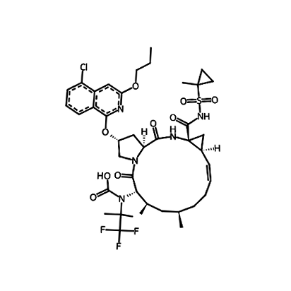 CCCOc1cc2c(Cl)cccc2c(O[C@@H]2C[C@H]3C(=O)N[C@]4(C(=O)NS(=O)(=O)C5(C)CC5)C[C@H]4C=CCC[C@@H](C)C[C@@H](C)[C@H](N(C(=O)O)C(C)(C)C(F)(F)F)C(=O)N3C2)n1